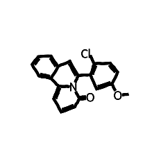 COc1ccc(Cl)c(-c2cc3ccccc3c3cccc(=O)n23)c1